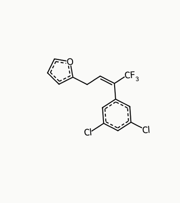 FC(F)(F)/C(=C/Cc1ccco1)c1cc(Cl)cc(Cl)c1